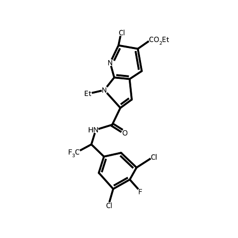 CCOC(=O)c1cc2cc(C(=O)NC(c3cc(Cl)c(F)c(Cl)c3)C(F)(F)F)n(CC)c2nc1Cl